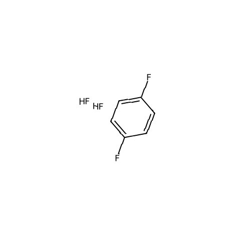 F.F.Fc1ccc(F)cc1